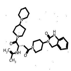 C=C(C)N[C@@H](CC(=O)N1CCC(N2Cc3ccccc3NC2=O)CC1)C(=O)N1CCC(N2CCCCC2)CC1